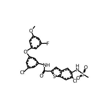 COc1cc(F)cc(Oc2cc(Cl)cc(NC(=O)c3cc4cc(NS(C)(=O)=O)c(Cl)cc4s3)c2)c1